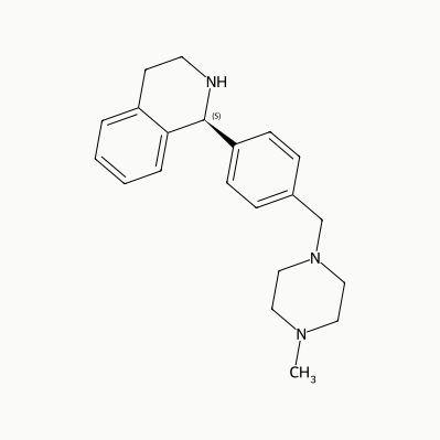 CN1CCN(Cc2ccc([C@@H]3NCCc4ccccc43)cc2)CC1